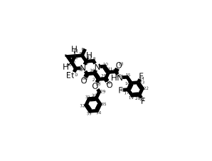 CCC1[C@H]2C[C@H]2C(C)[C@@H]2Cn3cc(C(=O)NCc4c(F)cc(F)cc4F)c(=O)c(OCc4ccccc4)c3C(=O)N12